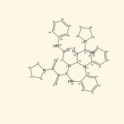 O=C(CN1C(C(=O)C(=O)N2CCCC2)Nc2ccccc2N(c2ccccc2)C1C(=O)C(=O)N1CCCC1)Nc1ccccc1